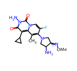 CO/N=C1/CN(c2c(F)cn3c(=O)n(N)c(=O)c(C4CC4)c3c2C)CC1N